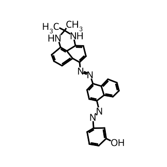 CC1(C)Nc2cccc3c(/N=N/c4ccc(N=Nc5cccc(O)c5)c5ccccc45)ccc(c23)N1